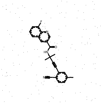 Cc1ccc(C#N)c(C#CC(C)(C)NC(=O)c2cnc3c(F)cccc3c2)c1